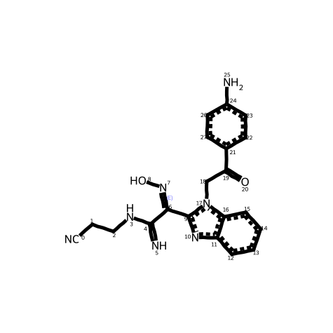 N#CCCNC(=N)/C(=N\O)c1nc2ccccc2n1CC(=O)c1ccc(N)cc1